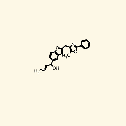 CC=CC(O)c1ccc2oc(Cc3nc(-c4ccccc4)oc3C)cc2c1